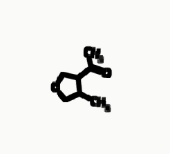 CC(=O)C1COCC1C